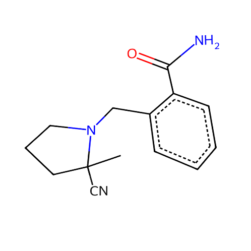 CC1(C#N)CCCN1Cc1ccccc1C(N)=O